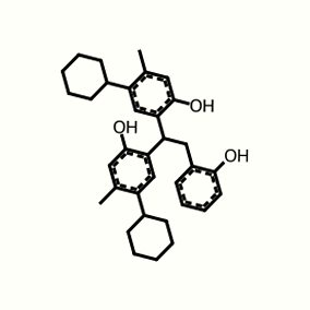 Cc1cc(O)c(C(Cc2ccccc2O)c2cc(C3CCCCC3)c(C)cc2O)cc1C1CCCCC1